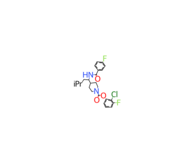 CC(C)CC(NC(=O)c1ccc(F)cc1)C1CCN(C(=O)Oc2cccc(F)c2Cl)CC1